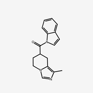 Cc1ncn2c1CC(C(=O)n1ccc3ccccc31)CC2